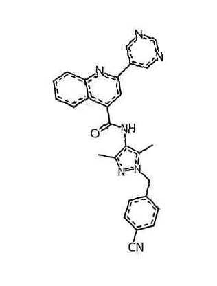 Cc1nn(Cc2ccc(C#N)cc2)c(C)c1NC(=O)c1cc(-c2cncnc2)nc2ccccc12